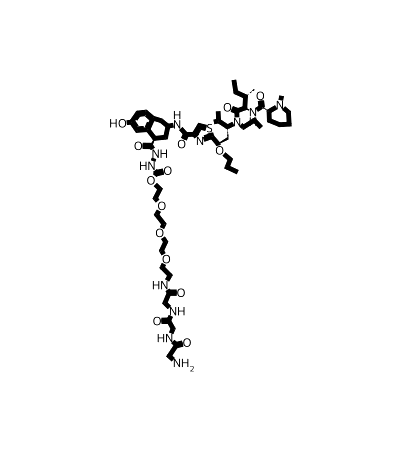 CCCO[C@H](C[C@H](C(C)C)N(CCC)C(=O)[C@@H](NC(=O)[C@H]1CCCCN1C)[C@@H](C)CC)c1nc(C(=O)NC2Cc3ccc(O)cc3[C@H](C(=O)NNC(=O)OCCOCCOCCOCCNC(=O)CNC(=O)CNC(=O)CN)C2)cs1